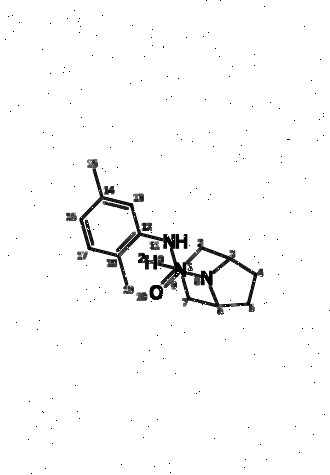 [2H]N1CC2CCC(C1)N2C(=O)Nc1cc(C)ccc1C